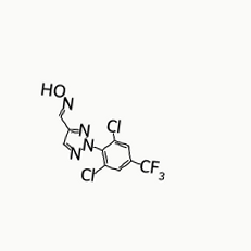 ON=Cc1cnn(-c2c(Cl)cc(C(F)(F)F)cc2Cl)n1